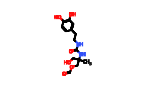 CC(CO)(COC=O)NC(=O)NCCc1ccc(O)c(O)c1